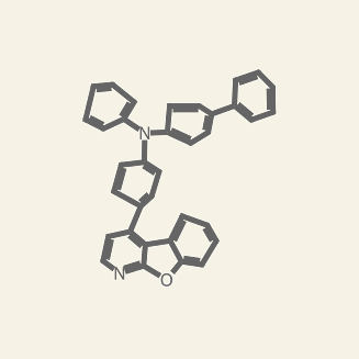 c1ccc(-c2ccc(N(c3ccccc3)c3ccc(-c4ccnc5oc6ccccc6c45)cc3)cc2)cc1